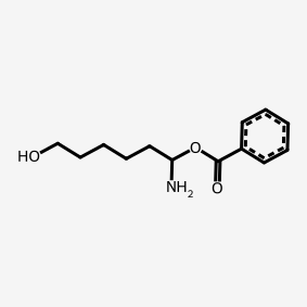 NC(CCCCCO)OC(=O)c1ccccc1